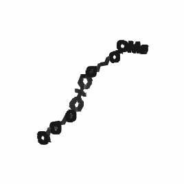 COCCOCCCCOc1ccc(C(C)(C)c2ccc(OCCCOCC3CO3)cc2)cc1